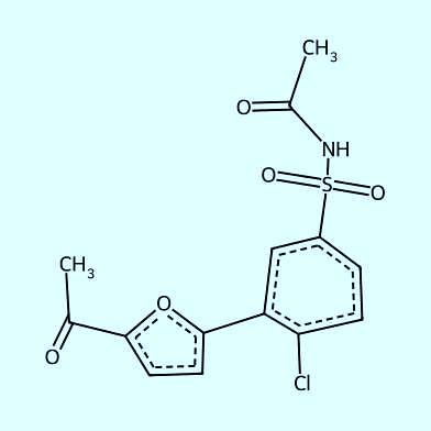 CC(=O)NS(=O)(=O)c1ccc(Cl)c(-c2ccc(C(C)=O)o2)c1